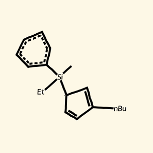 CCCCC1=C[C]([Si](C)(CC)c2ccccc2)C=C1